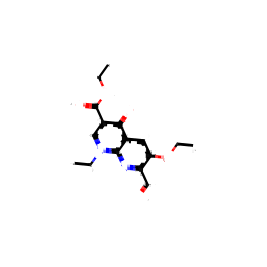 CCOC(=O)c1cn(CC)c2nc(C=O)c(OCC)cc2c1=O